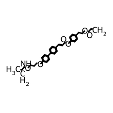 C=CC(=O)OCCc1ccc(OC(=O)/C=C/c2ccc(-c3ccc(OCCCOC(=N)C(=C)C)cc3)cc2)cc1